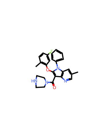 Cc1cnc2c(C(=O)N3CCNCC3)c(Oc3cc(F)ccc3C)n(-c3ccccc3)c2c1